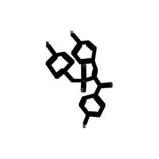 O=C(C(=Cc1ccc(I)cc1)S(=O)(=O)Cc1ccc(I)cc1)c1ccc(I)cc1